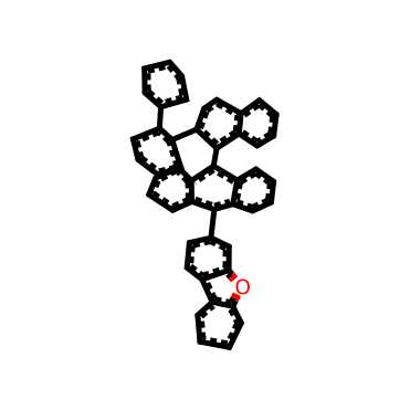 c1ccc(-c2ccccc2-c2ccc3ccccc3c2-c2c3ccccc3c(-c3ccc4c(c3)oc3ccccc34)c3ccccc23)cc1